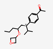 CCCC(C[C@@H](c1ccc(C(C)=O)cc1)C(C)C)OC1COC1